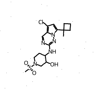 CC1(c2cc(Cl)c3cnc(NC4CCN(S(C)(=O)=O)CC4O)nn23)CCC1